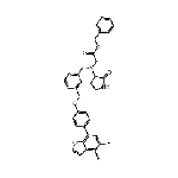 O=C(CN(Cc1cccc(COc2ccc(-c3cc(F)c(F)c4ccoc34)cc2)c1)C1CCNC1=O)OCc1ccccc1